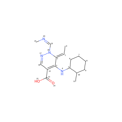 CC=C1C(NC2CCCCC2C)=C(C(=O)O)C=NN1/C=N\C